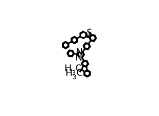 CC1(C)c2ccccc2-c2ccc(-c3cc(-c4ccc(-c5cccc6sc7c(c56)CC(c5ccc(-c6ccccc6)cc5)C=C7)cc4)nc(-c4ccccc4)n3)cc21